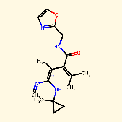 C=N/C(NC1(C)CC1)=C(\C)C(C(=O)NCc1ncco1)=C(C)C